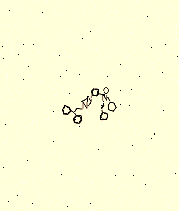 O=C(c1cccc(N2CCN(CCC(c3ccccc3)c3ccccc3)CC2)c1)N(CC=Cc1ccccc1)CC1CCCCC1